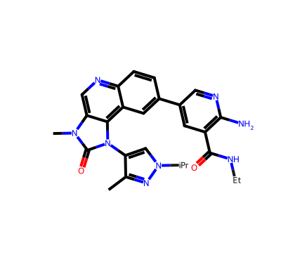 CCNC(=O)c1cc(-c2ccc3ncc4c(c3c2)n(-c2cn(C(C)C)nc2C)c(=O)n4C)cnc1N